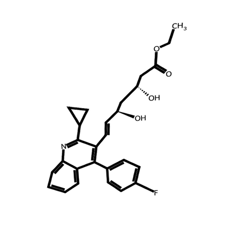 CCOC(=O)C[C@H](O)C[C@@H](O)/C=C/c1c(C2CC2)nc2ccccc2c1-c1ccc(F)cc1